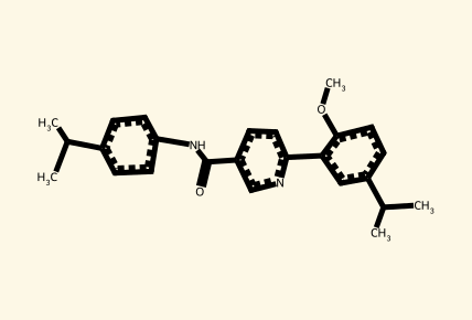 COc1ccc(C(C)C)cc1-c1ccc(C(=O)Nc2ccc(C(C)C)cc2)cn1